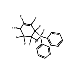 FC1=C(F)C(F)(P(F)(F)(c2ccccc2)c2ccccc2)C(F)(F)C(F)(F)C1F